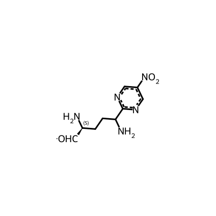 NC(CC[C@H](N)[C]=O)c1ncc([N+](=O)[O-])cn1